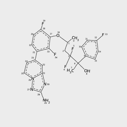 CC(CC(F)(F)C(C)(O)c1ccc(F)cc1)Oc1c(F)ccc(-c2ccn3nc(N)nc3c2)c1F